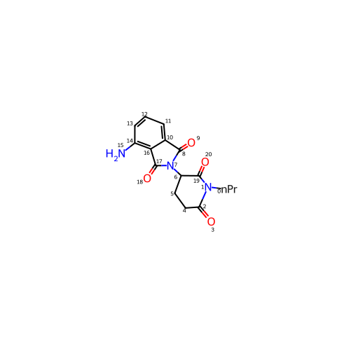 CCCN1C(=O)CCC(N2C(=O)c3cccc(N)c3C2=O)C1=O